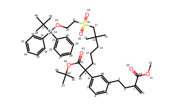 C=C(CCc1cccc(C(C)(CCCC(C)(C)CS(=O)(=O)CCO[Si](c2ccccc2)(c2ccccc2)C(C)(C)C)C(=O)OC(C)(C)C)c1)C(=O)OC